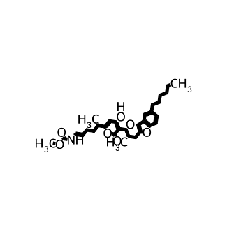 CCCCCCc1ccc2oc(CC(C)C(=O)c3c(O)cc(C(C)CC/C=C/NC(=O)OC)oc3=O)cc2c1